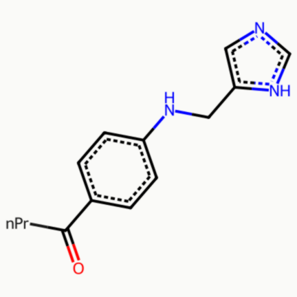 CCCC(=O)c1ccc(NCc2cnc[nH]2)cc1